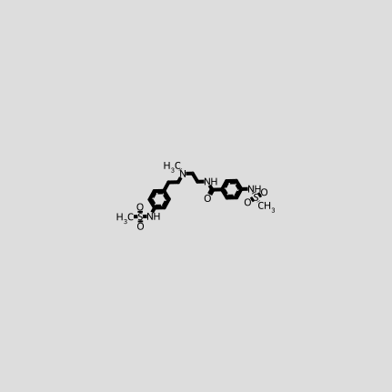 CN(CCNC(=O)c1ccc(NS(C)(=O)=O)cc1)CCc1ccc(NS(C)(=O)=O)cc1